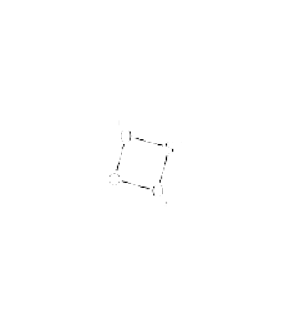 O1OSO1